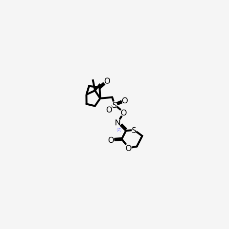 CC1(C)C2CCC1(CS(=O)(=O)O/N=C1\SCCOC1=O)C(=O)C2